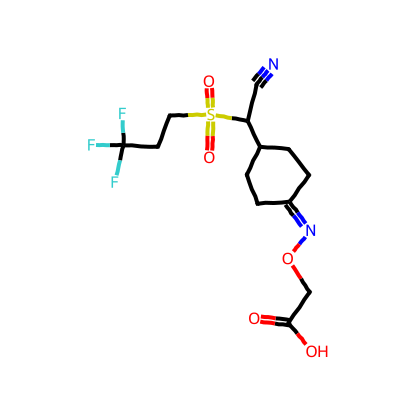 N#CC(C1CCC(=NOCC(=O)O)CC1)S(=O)(=O)CCC(F)(F)F